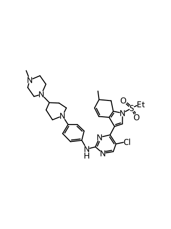 CCS(=O)(=O)n1cc(-c2nc(Nc3ccc(N4CCC(N5CCN(C)CC5)CC4)cc3)ncc2Cl)c2c1CC(C)C=C2